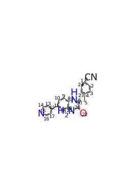 N#Cc1ccc(C[C@@H](Nc2ccc(-c3ccncc3)cc2)C(N)=O)cc1